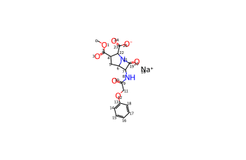 COC(=O)C1CC2C(NC(=O)COc3ccccc3)C(=O)N2C1C(=O)[O-].[Na+]